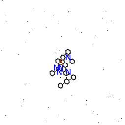 c1ccc(-c2ccc(-c3ccccc3)c(-c3cnc(-c4ccc5c(c4)sc4ccc6c7ccccc7n(-c7ccccc7)c6c45)c(-c4nc(-c5ccccc5)nc(-c5ccccc5)n4)c3)c2)cc1